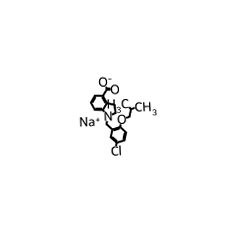 CC(C)COc1ccc(Cl)cc1CN1CCc2c(C(=O)[O-])cccc21.[Na+]